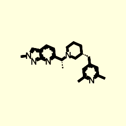 Cc1cc(C[C@H]2CCCN([C@H](C)c3ccc4cn(C)nc4n3)C2)cc(C)n1